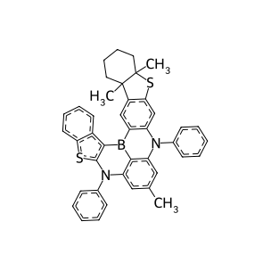 Cc1cc2c3c(c1)N(c1ccccc1)c1sc4ccccc4c1B3c1cc3c(cc1N2c1ccccc1)SC1(C)CCCCC31C